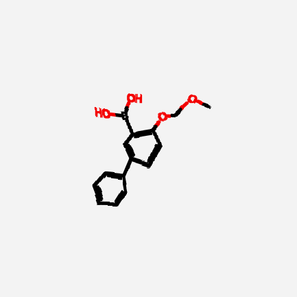 COCOc1ccc(-c2ccccc2)cc1B(O)O